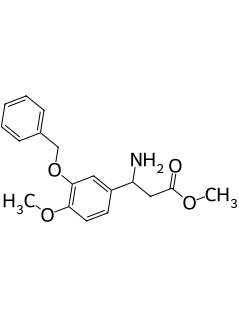 COC(=O)CC(N)c1ccc(OC)c(OCc2ccccc2)c1